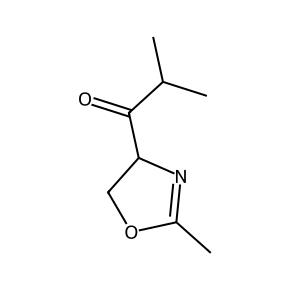 CC1=NC(C(=O)C(C)C)CO1